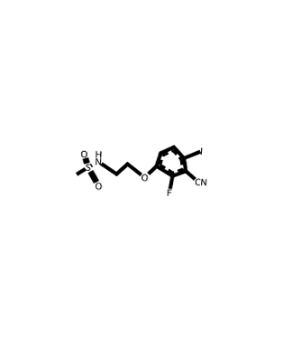 CS(=O)(=O)NCCOc1ccc(I)c(C#N)c1F